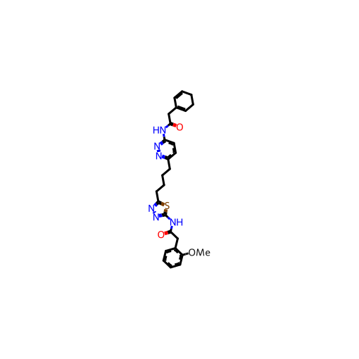 COc1ccccc1CC(=O)Nc1nnc(CCCCc2ccc(NC(=O)CC3=CCCC=C3)nn2)s1